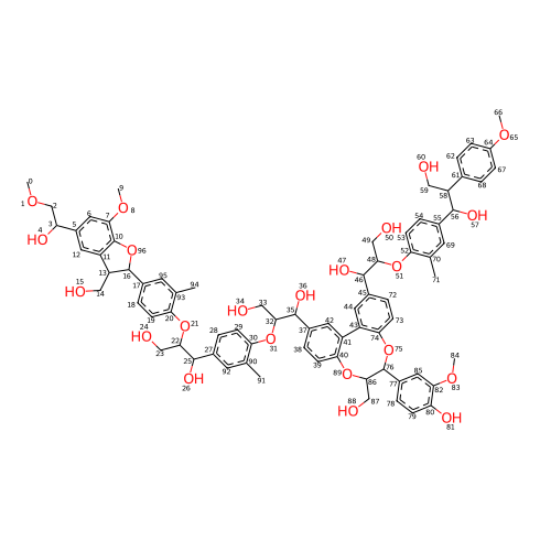 COCC(O)c1cc(OC)c2c(c1)C(CO)C(c1ccc(OC(CO)C(O)c3ccc(OC(CO)C(O)c4ccc5c(c4)-c4cc(C(O)C(CO)Oc6ccc(C(O)C(CO)c7ccc(OC)cc7)cc6C)ccc4OC(c4ccc(O)c(OC)c4)C(CO)O5)c(C)c3)c(C)c1)O2